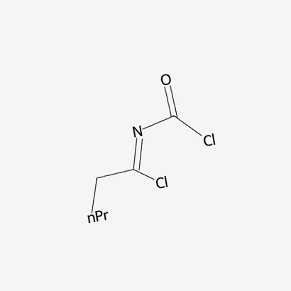 CCCCC(Cl)=NC(=O)Cl